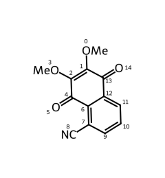 COC1=C(OC)C(=O)c2c(C#N)cccc2C1=O